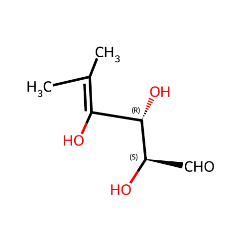 CC(C)=C(O)[C@H](O)[C@H](O)C=O